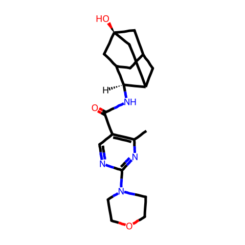 Cc1nc(N2CCOCC2)ncc1C(=O)N[C@H]1C2CC3CC1C[C@@](O)(C3)C2